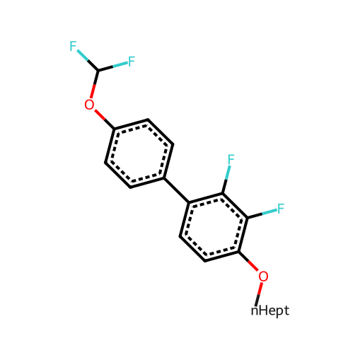 CCCCCCCOc1ccc(-c2ccc(OC(F)F)cc2)c(F)c1F